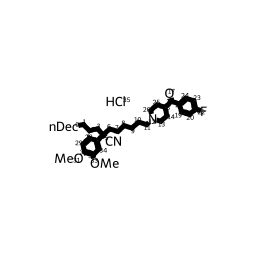 CCCCCCCCCCCCCC(C#N)(CCCCCCN1CCC(C(=O)c2ccc(F)cc2)CC1)c1ccc(OC)c(OC)c1.Cl